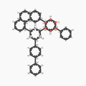 c1ccc(-c2ccc(-c3ccc4ccc5cccc(-c6nc(-c7ccccc7)nc(-c7ccc(-c8ccccc8)cc7)n6)c5c4c3)cc2)cc1